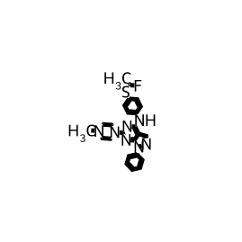 CC(F)Sc1ccc(Nc2nc(N3CCN(C)CC3)nc3c2cnn3-c2ccccc2)cc1